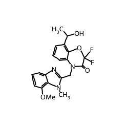 COc1cccc2nc(CN3C(=O)C(F)(F)Oc4c(C(C)O)cccc43)n(C)c12